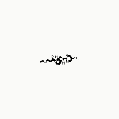 O=C(CCOCI)N1CC[C@@H]2[C@H]1CN2c1ncc(C(F)(F)F)cn1